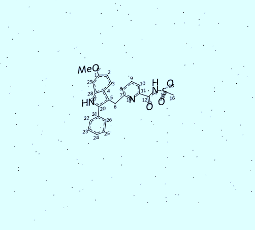 COc1ccc2c(Cc3cccc(C(=O)NS(C)(=O)=O)n3)c(-c3ccccc3)[nH]c2c1